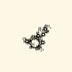 COC[C@@H]1NC(=O)[C@H](C)N(Cc2ccc(Cl)cc2Oc2ccc(-c3cnc(CN(C)C)n3C)cc2)C(=O)C[C@@H](Cc2ccccc2)C(=O)N(C)[C@@H](C)CNC(=O)C[C@H](Cc2ccc(Cl)cc2)N(C)C1=O